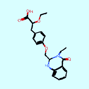 CCOC(Cc1ccc(OCC2Nc3ccccc3C(=O)N2CC)cc1)C(=O)O